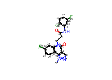 Cn1ncc2c(=O)n(CCC(=O)Nc3cc(F)ccc3F)c3cc(F)ccc3c21